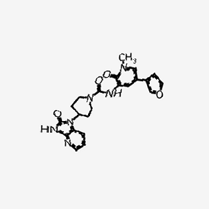 Cn1cc(-c2ccoc2)cc(NC(=O)N2CCC(n3c(=O)[nH]c4ncccc43)CC2)c1=O